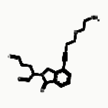 NCCOCCC#Cc1cccc2c1CN(C(C=O)CCC=O)C2=O